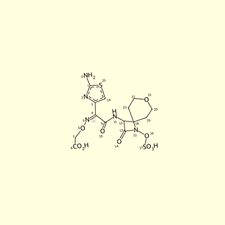 Nc1nc(/C(=N/OCC(=O)O)C(=O)NC2C(=O)N(OS(=O)(=O)O)C23CCOCC3)cs1